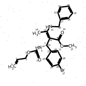 C=CCOC(=O)N[C@H](C(C(=O)OC)=C(C)NCc1ccccc1)c1ccc(Br)cc1